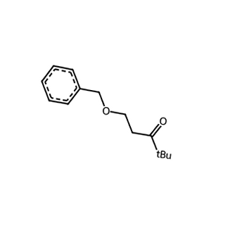 CC(C)(C)C(=O)CCOCc1ccccc1